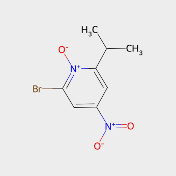 CC(C)c1cc([N+](=O)[O-])cc(Br)[n+]1[O-]